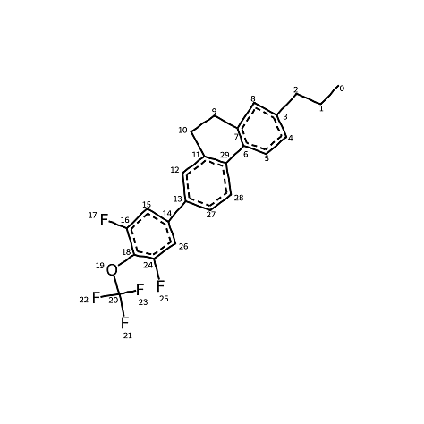 CCCc1ccc2c(c1)CCc1cc(-c3cc(F)c(OC(F)(F)F)c(F)c3)ccc1-2